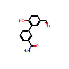 NC(=O)c1cccc(-c2cc(C=O)ccc2O)c1